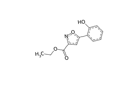 CCOC(=O)c1cc(-c2ccccc2O)on1